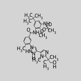 COc1c(NC(=O)c2ccc(C)c(N3C=C(c4cnc(C(C)(C)CO)n4C)NN3)c2)cc(C(C)(C)C)cc1NS(C)(=O)=O